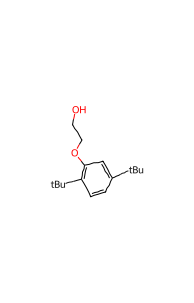 CC(C)(C)c1ccc(C(C)(C)C)c(OCCO)c1